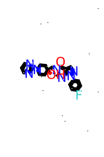 O=c1c2cnn(-c3ccc(F)cc3)c2ncn1CC1(O)CCN(c2ncccn2)CC1